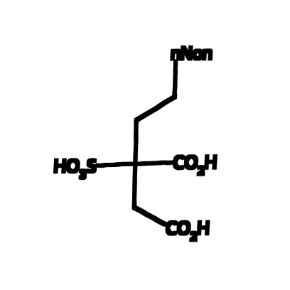 CCCCCCCCCCCC(CC(=O)O)(C(=O)O)S(=O)(=O)O